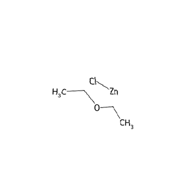 CCOCC.[Cl][Zn]